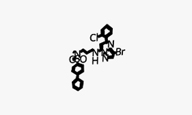 CN(CCCNc1cc(-c2ccccc2Cl)nc2c(Br)cnn12)S(=O)(=O)c1ccc(-c2ccccc2)cc1